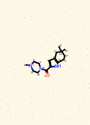 CN1CCN(C(=O)c2cc3c([nH]2)CCC(C)(C)C3)CC1